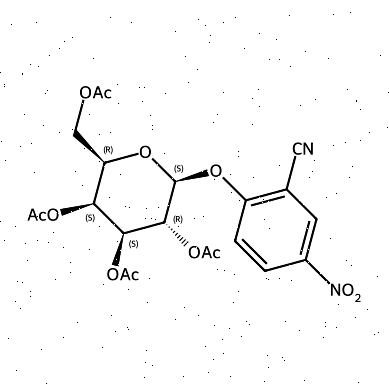 CC(=O)OC[C@H]1O[C@@H](Oc2ccc([N+](=O)[O-])cc2C#N)[C@H](OC(C)=O)[C@@H](OC(C)=O)[C@H]1OC(C)=O